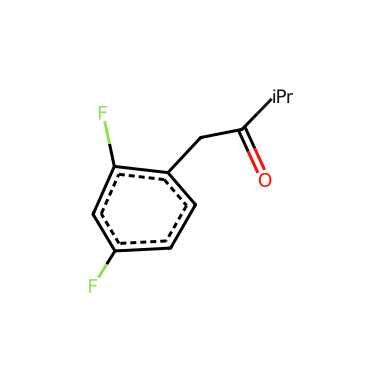 CC(C)C(=O)Cc1ccc(F)cc1F